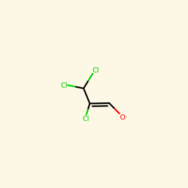 [O]C=C(Cl)C(Cl)Cl